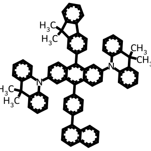 CC1(C)c2ccccc2-c2ccc(-c3c4ccc(N5c6ccccc6C(C)(C)c6ccccc65)cc4c(-c4ccc(-c5cccc6ccccc56)cc4)c4ccc(N5c6ccccc6C(C)(C)c6ccccc65)cc34)cc21